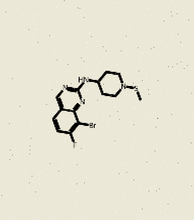 CSN1CCC(Nc2ncc3ccc(F)c(Br)c3n2)CC1